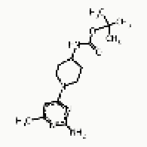 Cc1cc(N2CCC(NC(=O)OC(C)(C)C)CC2)nc(N)n1